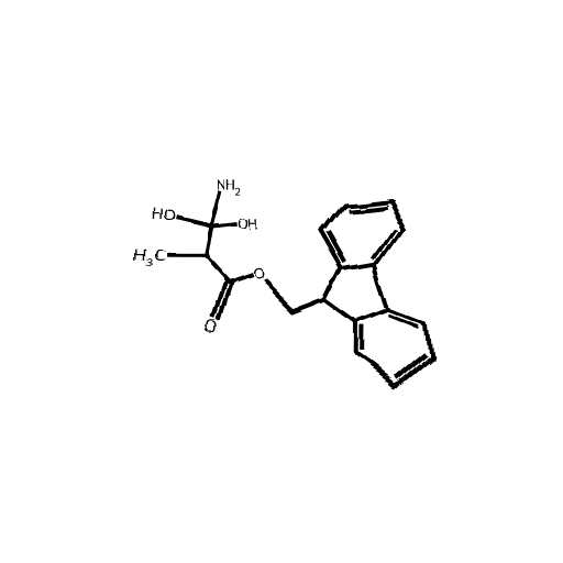 CC(C(=O)OCC1c2ccccc2-c2ccccc21)C(N)(O)O